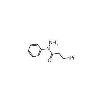 CC(C)CCC(=O)N(N)c1ccccc1